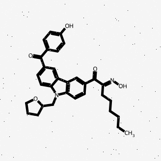 CCCCCC/C(=N\O)C(=O)c1ccc2c(c1)c1cc(C(=O)c3ccc(O)cc3)ccc1n2CC1CCCO1